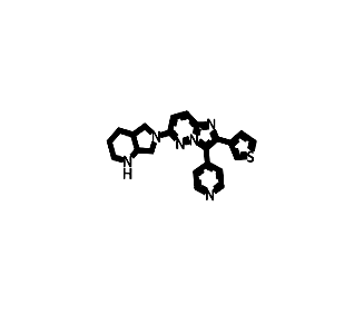 c1cc(-c2c(-c3ccsc3)nc3ccc(N4CC5CCCNC5C4)nn23)ccn1